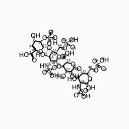 O=C(O)C1=C[C@H](O)[C@@H](OS(=O)(=O)O)[C@H](O[C@H]2[C@H](O)[C@@H](NS(=O)(=O)O)[C@@H](O[C@H]3[C@H](O)[C@@H](O)[C@H](O[C@H]4[C@H](O)[C@@H](NS(=O)(=O)O)[C@@H](O)O[C@@H]4COS(=O)(=O)O)O[C@H]3C(=O)O)O[C@@H]2COS(=O)(=O)O)O1